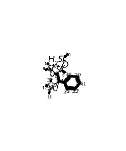 C[SiH2]O[Si](C)(C)C(O[Si](C)(C)C)=C(O[Si](C)(C)C)c1ccccc1